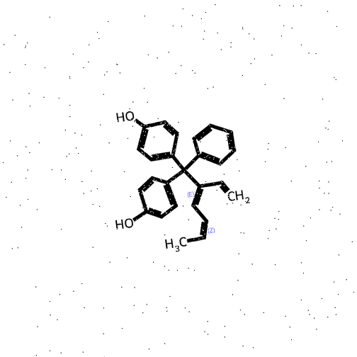 C=C/C(=C\C=C/C)C(c1ccccc1)(c1ccc(O)cc1)c1ccc(O)cc1